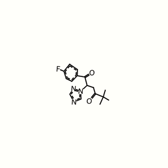 CC(C)(C)C(=O)CC(C(=O)c1ccc(F)cc1)n1cncn1